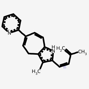 C=C(C)/C=C\c1[nH]c2c(c1C)CC=C(c1ccccn1)C=C2